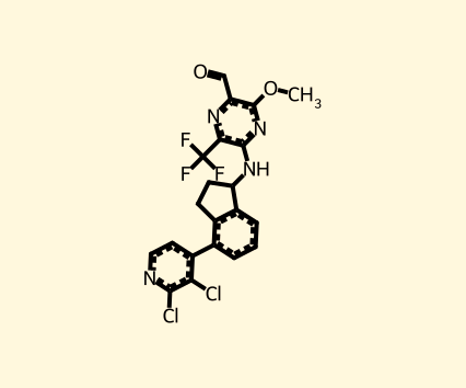 COc1nc(NC2CCc3c(-c4ccnc(Cl)c4Cl)cccc32)c(C(F)(F)F)nc1C=O